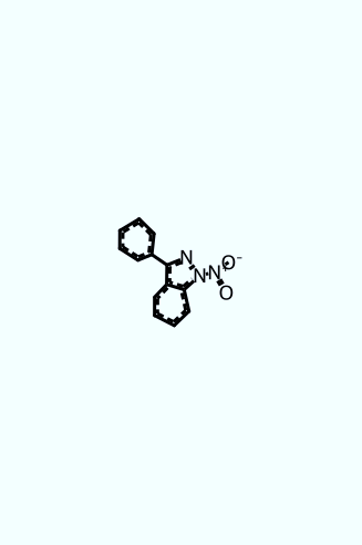 O=[N+]([O-])n1nc(-c2ccccc2)c2ccccc21